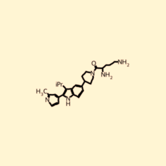 Cc1cc(-c2[nH]c3ccc(C4CCN(C(=O)C(N)CCCN)CC4)cc3c2C(C)C)ccn1